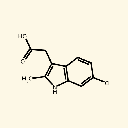 Cc1[nH]c2cc(Cl)ccc2c1CC(=O)O